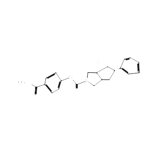 COC(=O)c1ccc(NC(=O)N2C[C@H]3C[C@@H](c4ccccc4)C[C@H]3C2)cc1